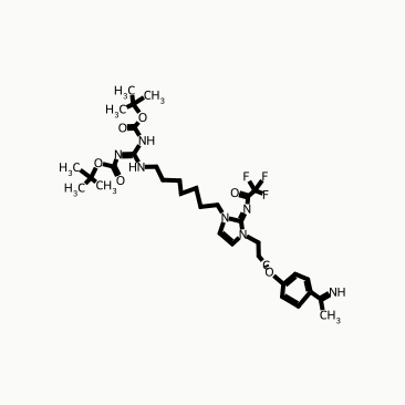 CC(=N)c1ccc(OCCCn2ccn(CCCCCCCN/C(=N\C(=O)OC(C)(C)C)NC(=O)OC(C)(C)C)/c2=N\C(=O)C(F)(F)F)cc1